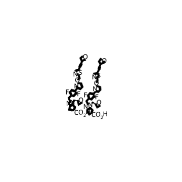 O=C(O)c1ccc2nc(Cc3cc(F)c(-c4cccc(OCc5ncc(C#CC6CCOC6)s5)n4)cc3F)n(C[C@@H]3CCO3)c2c1.O=C(O)c1ccc2nc(Cc3cc(F)c(-c4cccc(OCc5ncc(C#CC6CCOC6)s5)n4)cc3F)n(C[C@@H]3CCO3)c2c1